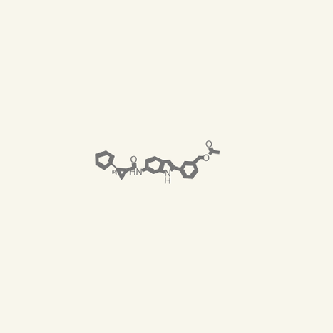 CC(=O)OCc1cccc(-c2cc3ccc(NC(=O)C4C[C@H]4c4ccccc4)cc3[nH]2)c1